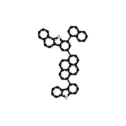 c1ccc2c(-c3cc(-c4ccc5ccc6c(-c7cccc8oc9ccccc9c78)ccc7ccc4c5c76)cc4c3oc3c5ccccc5ccc43)cccc2c1